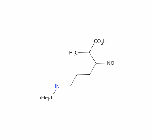 CCCCCCCNCCCC(N=O)C(C)C(=O)O